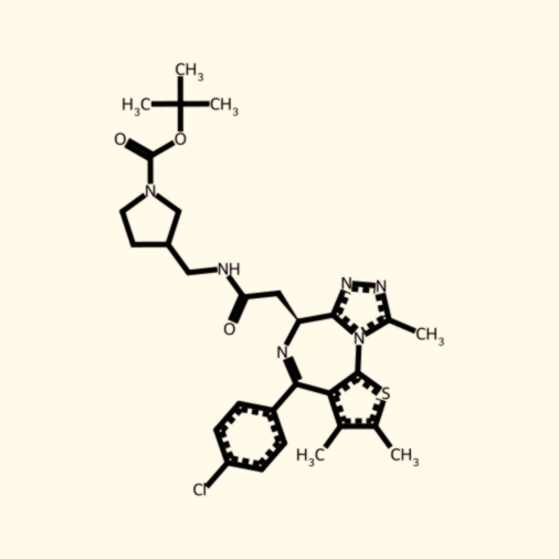 Cc1sc2c(c1C)C(c1ccc(Cl)cc1)=N[C@@H](CC(=O)NCC1CCN(C(=O)OC(C)(C)C)C1)c1nnc(C)n1-2